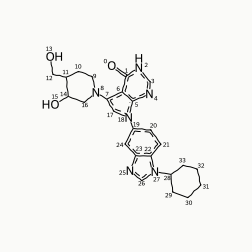 O=c1[nH]cnc2c1c(N1CCC(CO)C(O)C1)cn2-c1ccc2c(c1)ncn2C1CCCCC1